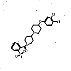 CS(=O)(=O)c1ccccc1C(=O)N1CCC(N2CCC(Oc3ccc(Cl)c(Cl)c3)CC2)CC1